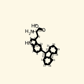 N[C@@H](Cc1c[nH]c2ccc(C3c4ccccc4-c4ccccc43)cc12)C(=O)O